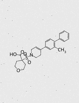 Cc1cc(C2=CCN(S(=O)(=O)C3(C(=O)O)CCOCC3)CC2)ccc1-c1ccccc1